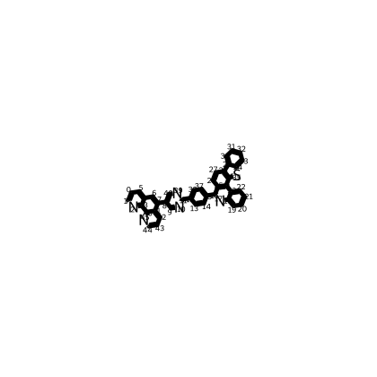 c1cnc2c(c1)cc(-c1cnc(-c3ccc(-c4nc5ccccc5c5c4ccc4c6ccccc6sc45)cc3)nc1)c1cccnc12